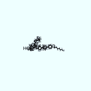 CCCCCCCOc1ccc(-c2cnc(-c3ccc(C[C@H](NC(=O)c4ccc(C(F)(F)F)s4)C(O)N[C@H](C)C(=O)O)cc3)nc2)cc1